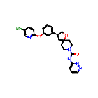 O=C(Nc1cccnn1)N1CCC2(CC1)CC(c1cccc(Oc3ccc(Br)cn3)c1)CO2